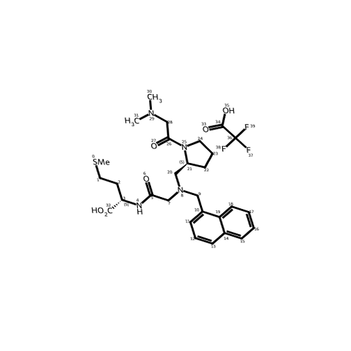 CSCC[C@H](NC(=O)CN(Cc1cccc2ccccc12)C[C@@H]1CCCN1C(=O)CN(C)C)C(=O)O.O=C(O)C(F)(F)F